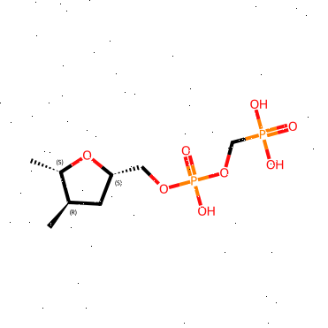 C[C@@H]1C[C@@H](COP(=O)(O)OCP(=O)(O)O)O[C@H]1C